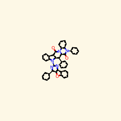 O=c1c2c(-c3ccccc3)c3c(c(=O)n2c2ccccc2n1-c1ccccc1)c1ccccc1n3-c1nc(-c2ccccc2)c2oc3ccccc3c2n1